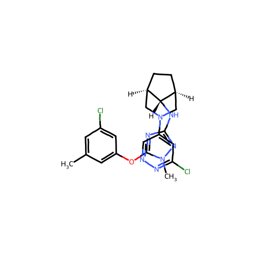 Cc1cc(Cl)cc(Oc2nc(N[C@@H]3[C@@H]4CC[C@H]3CN(c3cnnc(Cl)c3)C4)nn2C)c1